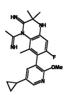 COc1ncc(C2CC2)cc1-c1c(F)cc2c(c1C)N(C(C)=N)C(=N)C(C)(C)N2